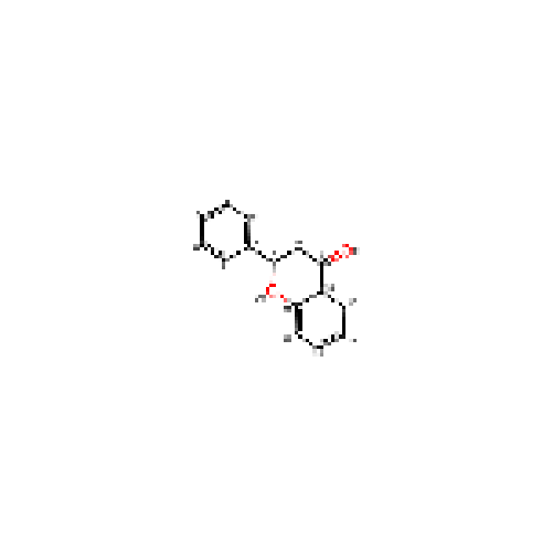 O=C1CC(c2ccccc2)OC2=CC=CCC12